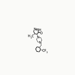 Cc1cn[nH]c(=O)c1N1CCN(Cc2ccccc2C(F)(F)F)CC1